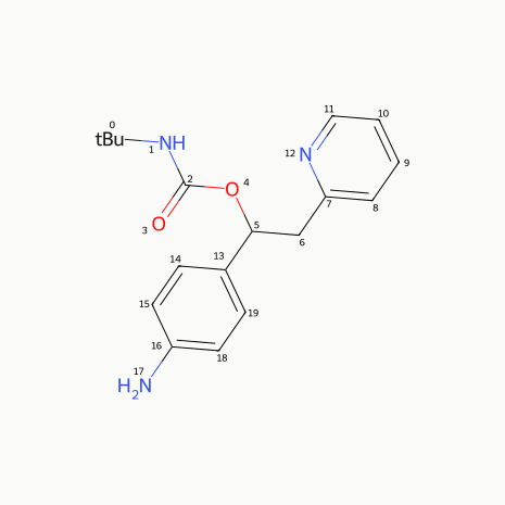 CC(C)(C)NC(=O)OC(Cc1ccccn1)c1ccc(N)cc1